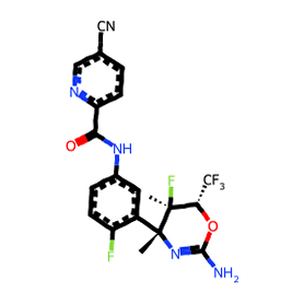 C[C@]1(F)[C@H](C(F)(F)F)OC(N)=N[C@]1(C)c1cc(NC(=O)c2ccc(C#N)cn2)ccc1F